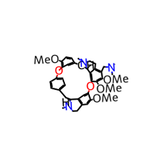 COc1ccc2cc1Oc1ccc(cc1)C[C@H]1c3cc(c(OC)cc3CCN1C)Oc1c(OC)c(OC)c(CN(C)C)c3c1[C@H](C2)N(C)CC3